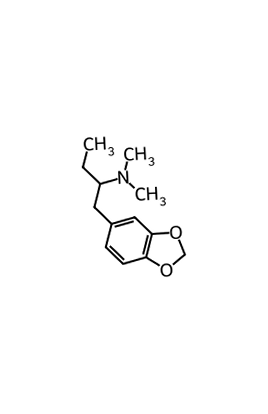 CCC(Cc1ccc2c(c1)OCO2)N(C)C